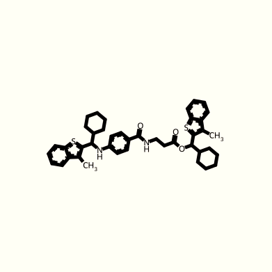 Cc1c(C(Nc2ccc(C(=O)NCCC(=O)OC(c3sc4ccccc4c3C)C3CCCCC3)cc2)C2CCCCC2)sc2ccccc12